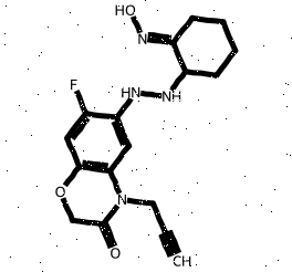 C#CCN1C(=O)COc2cc(F)c(NNC3CCCCC3=NO)cc21